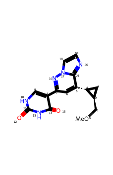 COC[C@@H]1C[C@H]1c1cc(-c2c[nH]c(=O)[nH]c2=O)nn2ccnc12